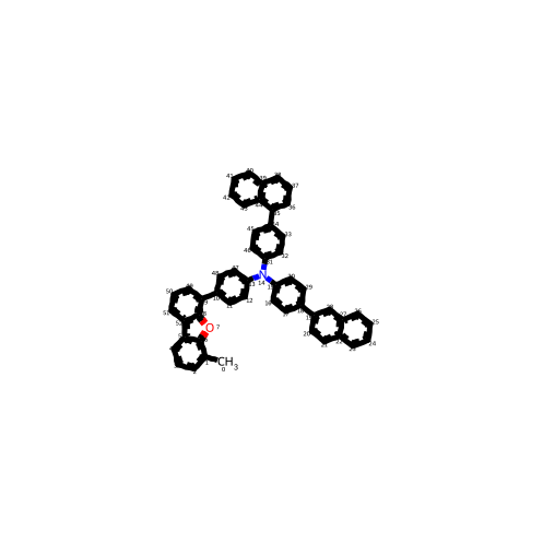 Cc1cccc2c1oc1c(-c3ccc(N(c4ccc(-c5ccc6ccccc6c5)cc4)c4ccc(-c5cccc6ccccc56)cc4)cc3)cccc12